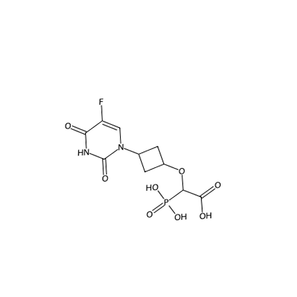 O=C(O)C(OC1CC(n2cc(F)c(=O)[nH]c2=O)C1)P(=O)(O)O